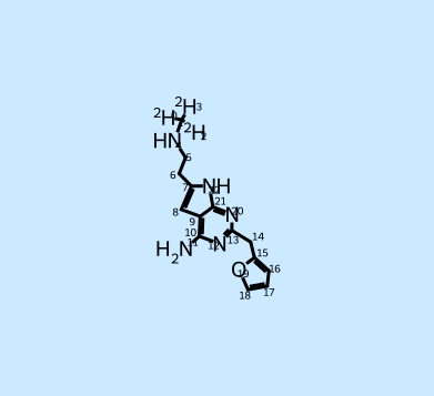 [2H]C([2H])([2H])NCCc1cc2c(N)nc(Cc3ccco3)nc2[nH]1